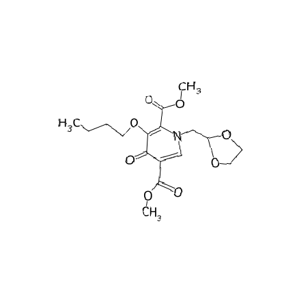 CCCCOc1c(C(=O)OC)n(CC2OCCO2)cc(C(=O)OC)c1=O